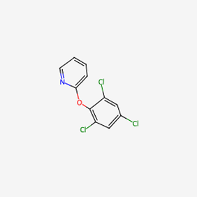 Clc1cc(Cl)c(Oc2ccccn2)c(Cl)c1